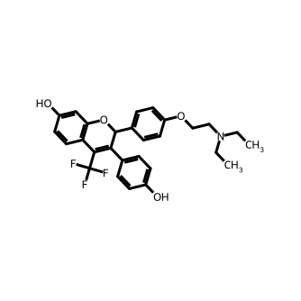 CCN(CC)CCOc1ccc(C2Oc3cc(O)ccc3C(C(F)(F)F)=C2c2ccc(O)cc2)cc1